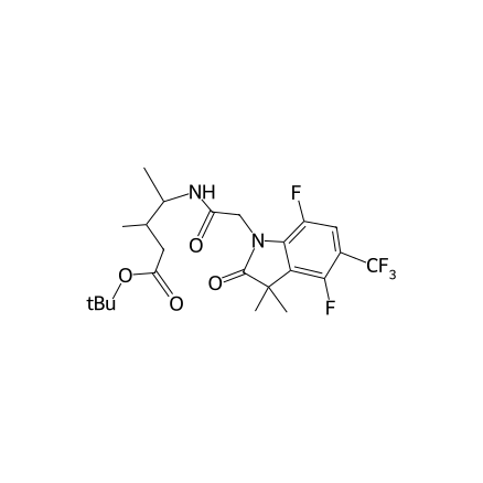 CC(CC(=O)OC(C)(C)C)C(C)NC(=O)CN1C(=O)C(C)(C)c2c(F)c(C(F)(F)F)cc(F)c21